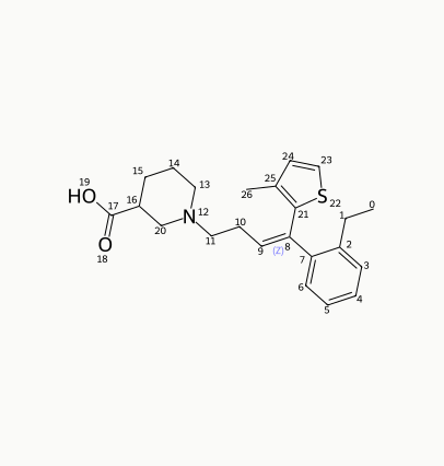 CCc1ccccc1/C(=C/CCN1CCCC(C(=O)O)C1)c1sccc1C